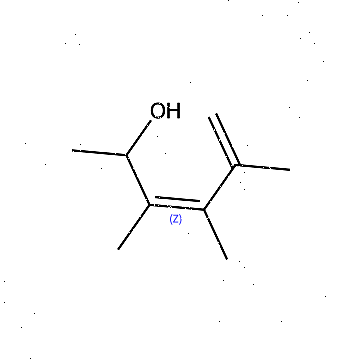 C=C(C)/C(C)=C(/C)C(C)O